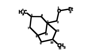 CCOCC12CC(C)CC(CC(C)C1)C2